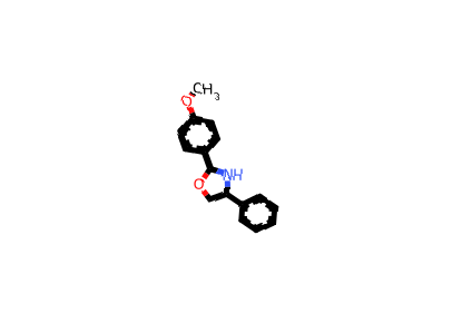 COc1ccc(C2NC(c3ccccc3)CO2)cc1